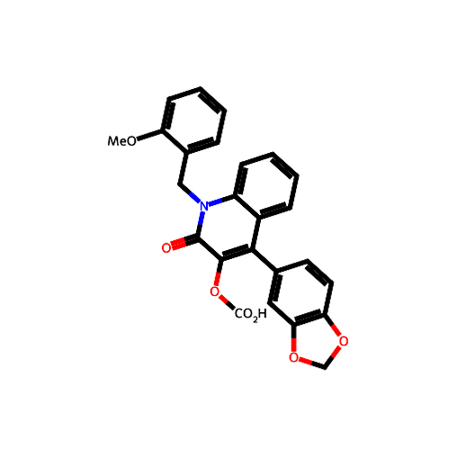 COc1ccccc1Cn1c(=O)c(OC(=O)O)c(-c2ccc3c(c2)OCO3)c2ccccc21